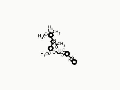 COc1ccc(-c2cc(-c3cc(C)c(C)c(OC)c3)nn2C(C)=O)cc1OCCCOc1cc(-c2nc3ccccc3s2)ccc1C